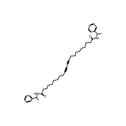 CC(NC(=O)CCCCCCCCC#CC#CCCCCCCCCC(=O)NC(C)c1ccccc1)c1ccccc1